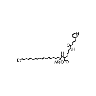 CCC=CCC=CCC=CCC=CCC=CCCCC(=O)NC(CCCCNC(=O)CC=Cc1cccnc1)C(=O)OC